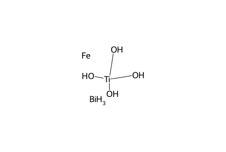 [BiH3].[Fe].[OH][Ti]([OH])([OH])[OH]